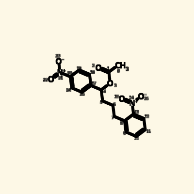 CC(=O)OC(CCCc1ccccc1[N+](=O)[O-])c1ccc([N+](=O)[O-])cc1